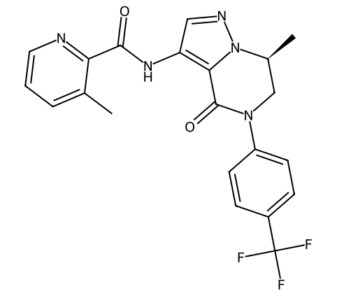 Cc1cccnc1C(=O)Nc1cnn2c1C(=O)N(c1ccc(C(F)(F)F)cc1)C[C@@H]2C